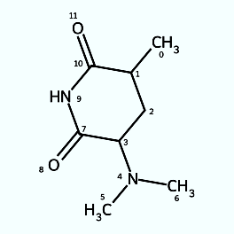 CC1CC(N(C)C)C(=O)NC1=O